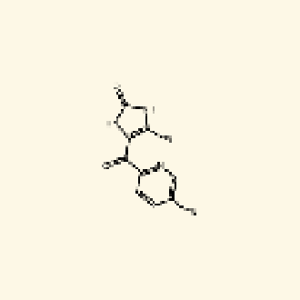 CCc1[nH]c(=O)[nH]c1C(=O)c1ccc(C#N)cn1